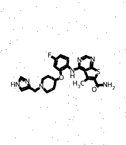 Cc1c(C(N)=O)sc2ncnc(Nc3ccc(F)cc3OC3CCN(Cc4c[nH]cn4)CC3)c12